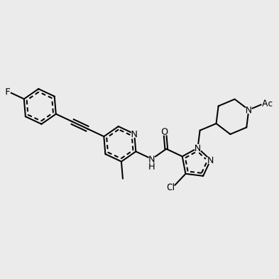 CC(=O)N1CCC(Cn2ncc(Cl)c2C(=O)Nc2ncc(C#Cc3ccc(F)cc3)cc2C)CC1